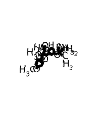 CCC(CC)(CN)Oc1cccc(CC(C)(C(=O)NO)S(=O)(=O)c2ccc(OC)cc2)c1